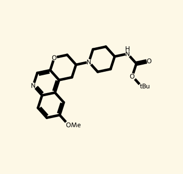 COc1ccc2ncc3c(c2c1)CC(N1CCC(NC(=O)OC(C)(C)C)CC1)CO3